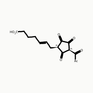 CC(=O)C(=O)[C@@H]1C(=O)C(=O)[C@H](CC=CCCCC(=O)O)C1=O